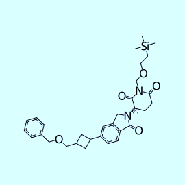 C[Si](C)(C)CCOCN1C(=O)CC[C@@H](N2Cc3cc(C4CC(COCc5ccccc5)C4)ccc3C2=O)C1=O